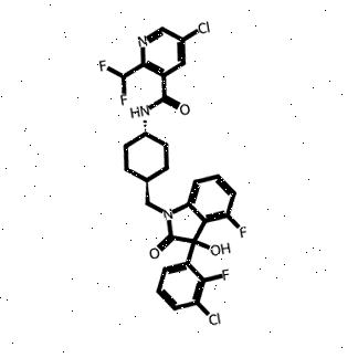 O=C(N[C@H]1CC[C@H](CN2C(=O)C(O)(c3cccc(Cl)c3F)c3c(F)cccc32)CC1)c1cc(Cl)cnc1C(F)F